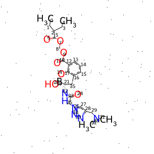 CCC(CC)C(=O)OCOC(=O)c1cccc2c1OB(O)[C@@H](NC(=O)Cn1cc(CN(C)C)nn1)C2